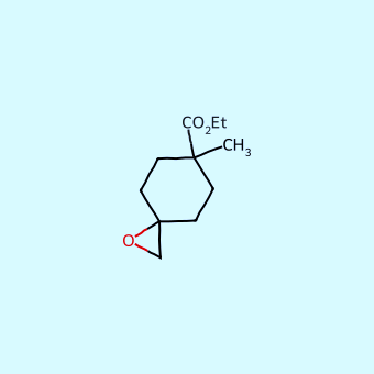 CCOC(=O)C1(C)CCC2(CC1)CO2